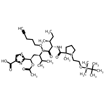 C#CCCCON(C(=O)[C@@H](NC(=O)[C@@]1(C)CCCN1CCO[Si](C)(C)C(C)(C)C)[C@@H](C)CC)[C@H](C[C@@H](OC(C)=O)c1nc(C(=O)O)cs1)C(C)C